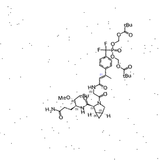 CCCC[C@H](NC(=O)/C=C(\C)c1ccc(C(F)(F)P(=O)(OCOC(=O)C(C)(C)C)OCOC(=O)C(C)(C)C)cc1)C(=O)N1C[C@H]2C[C@H]2[C@H]1C(=O)N[C@@H](CCC(N)=O)[C@@H](C)OC